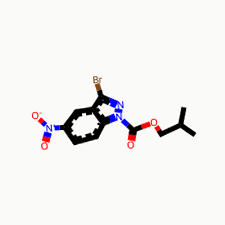 CC(C)COC(=O)n1nc(Br)c2cc([N+](=O)[O-])ccc21